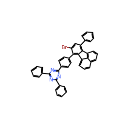 Brc1cc(-c2ccccc2)c2c(c1-c1ccc(-c3nc(-c4ccccc4)nc(-c4ccccc4)n3)cc1)-c1cccc3cccc-2c13